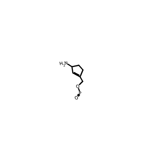 NC1C=C(COP=O)CC1